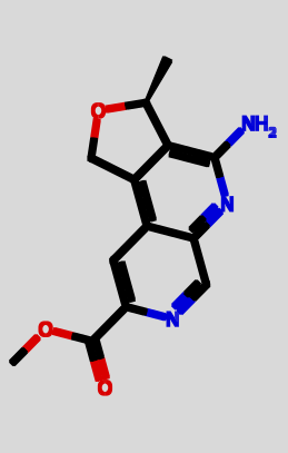 COC(=O)c1cc2c3c(c(N)nc2cn1)[C@H](C)OC3